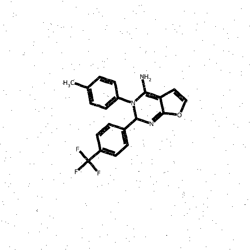 Cc1ccc(N2C(N)=c3ccoc3=NC2c2ccc(C(F)(F)F)cc2)cc1